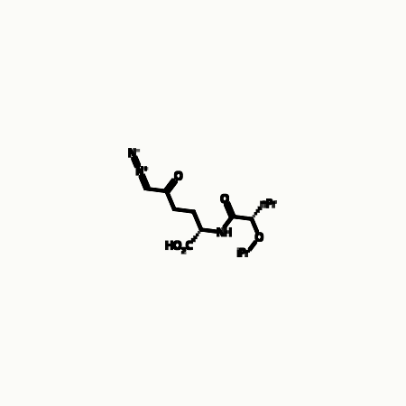 CCC[C@H](OC(C)C)C(=O)N[C@@H](CCC(=O)C=[N+]=[N-])C(=O)O